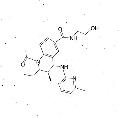 CCC1[C@H](C)C(Nc2cccc(C)n2)c2cc(C(=O)NCCO)ccc2N1C(C)=O